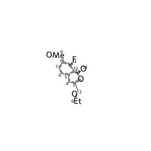 CCOCc1cc2ccc(OC)c(F)c2c(=O)o1